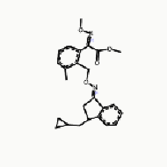 CO/N=C(/C(=O)OC)c1cccc(C)c1CO/N=C1\CC(CC2CC2)c2ccccc21